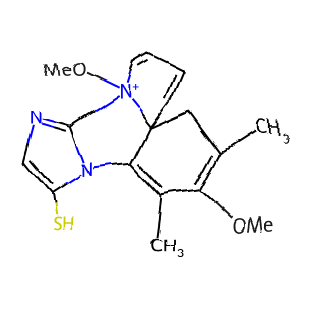 COC1=C(C)CC23C=CC=C[N+]2(OC)c2ncc(S)n2C3=C1C